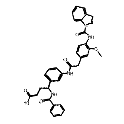 COc1cc(CC(=O)Nc2cccc(C(CCC(=O)O)NC(=O)c3ccccc3)c2)ccc1NC(=O)N1CCc2ccccc21